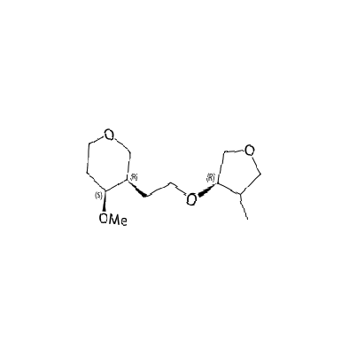 CO[C@H]1CCOC[C@H]1CCO[C@H]1COCC1C